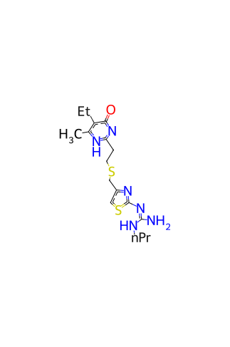 CCCNC(N)=Nc1nc(CSCCc2nc(=O)c(CC)c(C)[nH]2)cs1